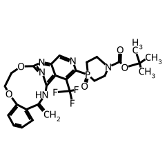 C=C1Nc2nc(nc3cnc(P4(=O)CCN(C(=O)OC(C)(C)C)CC4)c(C(F)(F)F)c23)OCCOc2ccccc21